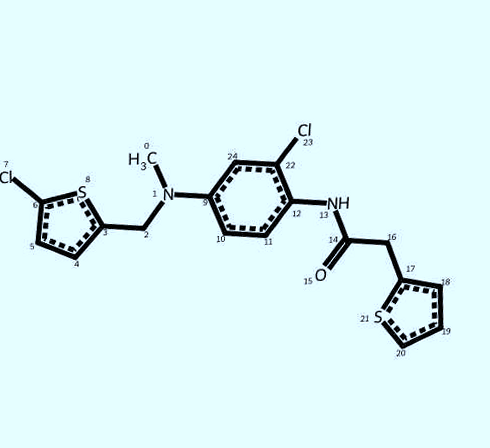 CN(Cc1ccc(Cl)s1)c1ccc(NC(=O)Cc2cccs2)c(Cl)c1